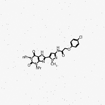 CCCn1c(=O)c2[nH]c(-c3cc(NC(=O)COc4ccc(Cl)cc4)nn3C)nc2n(CCC)c1=O